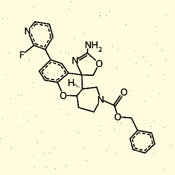 NC1=NC2(CO1)c1cc(-c3cccnc3F)ccc1OC1CCN(C(=O)OCc3ccccc3)C[C@@H]12